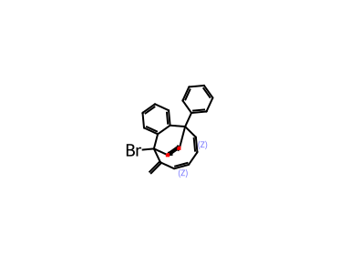 C=C1/C=C\C=C/C2(c3ccccc3)c3ccccc3C1(Br)c1ccccc12